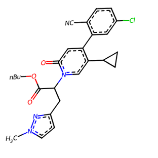 CCCCOC(=O)C(Cc1ccn(C)n1)n1cc(C2CC2)c(-c2cc(Cl)ccc2C#N)cc1=O